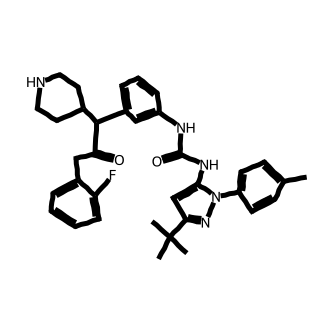 Cc1ccc(-n2nc(C(C)(C)C)cc2NC(=O)Nc2cccc(C(C(=O)Cc3ccccc3F)C3CCNCC3)c2)cc1